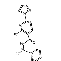 CC[C@H](NC(=O)c1cnc(-n2cccn2)nc1O)c1ccccc1